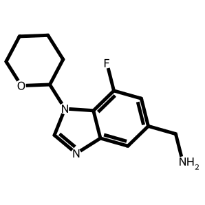 NCc1cc(F)c2c(c1)ncn2C1CCCCO1